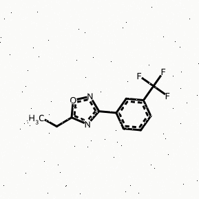 CCc1nc(-c2cccc(C(F)(F)F)c2)no1